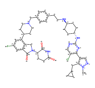 Cn1ncc(-c2nc(N[C@H]3CC[C@H](NCCc4ccc(CN5CCC(c6cc(F)cc7c6CN(C6CCC(=O)NC6=O)C7=O)CC5)cc4)CC3)ncc2Cl)c1CC1CC1